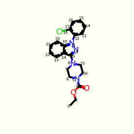 CCOC(=O)N1CCN(c2nn(-c3ccccc3Cl)c3ccccc23)CC1